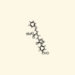 CC(C)(C)OC(=O)N(CCOc1ccccc1)CCn1cnn(-c2ccc(C=O)cc2)c1=O